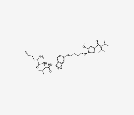 COc1cc(C(=O)N(C(C)C)C(C)C)ccc1OCCCCOc1ccc2c(NC(=O)C(NC(=O)C(N)CCC=S)C(C)C)noc2c1